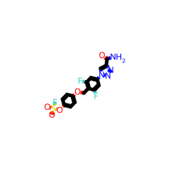 NC(=O)c1cn(-c2cc(F)c(COc3ccc(OS(=O)(=O)F)cc3)c(F)c2)nn1